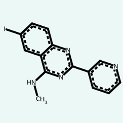 CNc1nc(-c2cccnc2)nc2ccc(I)cc12